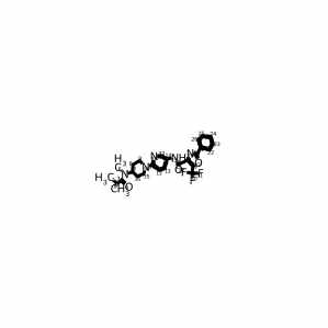 CC(C)C(=O)N(C)C1CCN(c2ccc(NC(=O)c3nc(-c4ccccc4)oc3C(F)(F)F)cn2)CC1